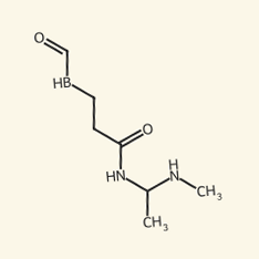 CNC(C)NC(=O)CCBC=O